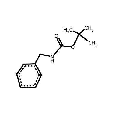 CC(C)(C)OC(=O)NCc1[c]cccc1